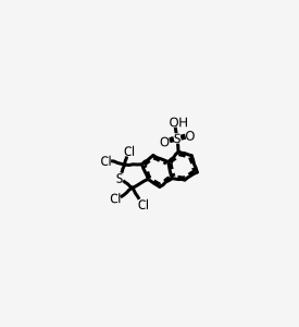 O=S(=O)(O)c1cccc2cc3c(cc12)C(Cl)(Cl)SC3(Cl)Cl